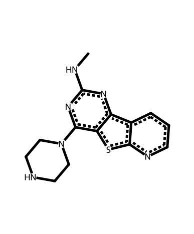 CNc1nc(N2CCNCC2)c2sc3ncccc3c2n1